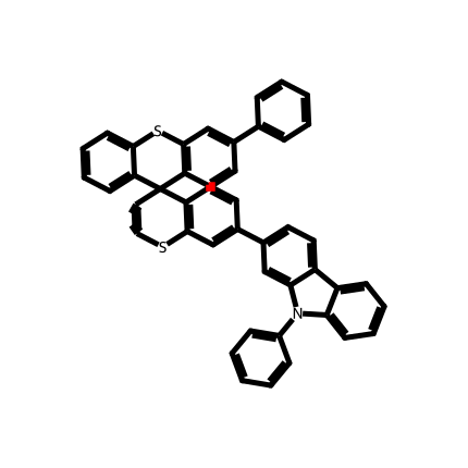 c1ccc(-c2ccc3c(c2)Sc2ccccc2C32c3ccccc3Sc3cc(-c4ccc5c6ccccc6n(-c6ccccc6)c5c4)ccc32)cc1